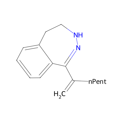 C=C(CCCCC)C1=NNCCc2ccccc21